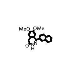 COc1cc2c(cc1OC)C(c1ccc3ccccc3c1)=NNC(=O)C2